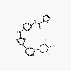 CC(=O)N1[C@H](C)CN(c2cc(-n3cnc(Nc4ccc(NC(=O)c5ccco5)cc4)n3)ccn2)C[C@@H]1C